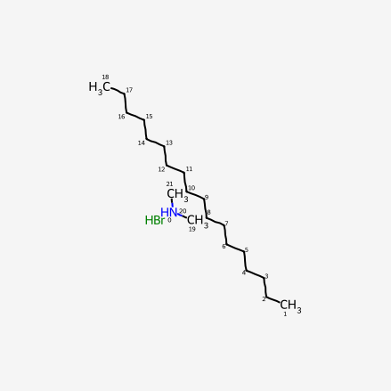 Br.CCCCCCCCCCCCCCCCCC.CNC